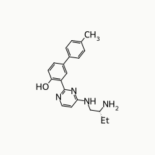 CC[C@@H](N)CNc1ccnc(-c2cc(-c3ccc(C)cc3)ccc2O)n1